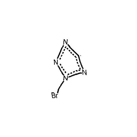 Brn1n[c]nn1